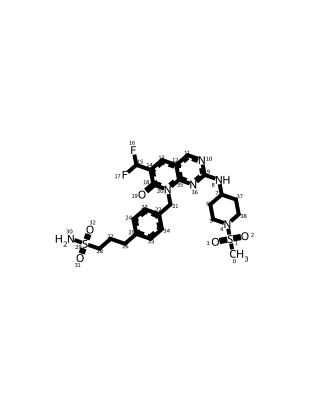 CS(=O)(=O)N1CCC(Nc2ncc3cc(C(F)F)c(=O)n(Cc4ccc(CCCS(N)(=O)=O)cc4)c3n2)CC1